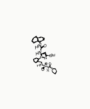 CC(C)(C)c1cc(NC(=O)Nc2cccc3ccccc23)n(-c2ccccc2CNS(=O)(=O)NC(=O)N2CCCC2)n1